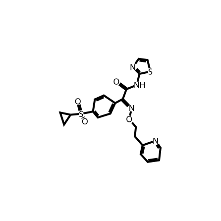 O=C(Nc1nccs1)/C(=N/OCCc1ccccn1)c1ccc(S(=O)(=O)C2CC2)cc1